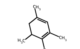 CC1=CC(C)=C(F)C(C)C1